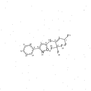 FC(F)C=C(Sc1cc(-c2ccccc2)no1)C(F)(F)F